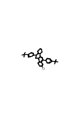 CC(C)(C)c1ccc(-c2cc3c4ccc(Cl)cc4c(-c4ccc(C(C)(C)C)cc4)cc3c3ccccc23)cc1